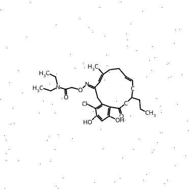 CCCC1C/C=C/CC/C(C)=C/C(=N/OCC(=O)N(CC)CC)Cc2c(Cl)c(O)cc(O)c2C(=O)C1